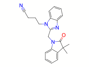 CC1(C)C(=O)N(Cc2nc3ccccc3n2CCCC#N)c2ccccc21